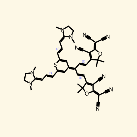 CN1CCN(C)C1=C/C=C/C1=CC(=C(/C=C/C2=C(C#N)C(=C(C#N)C#N)OC2(C)C)/C=C/C2=C(C#N)C(=C(C#N)C#N)OC2(C)C)C=C(/C=C/C=C2N(C)CCN2C)S1